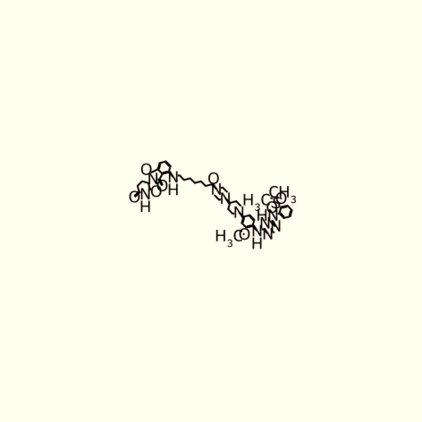 COc1cc(N2CCC(N3CCN(C(=O)CCCCCCNc4cccc5c4C(=O)N(C4CCC(=O)NC4=O)C5=O)CC3)CC2)ccc1Nc1ncnc(Nc2ccccc2S(=O)(=O)C(C)C)n1